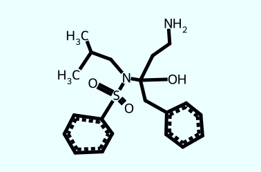 CC(C)CN(C(O)(CCN)Cc1ccccc1)S(=O)(=O)c1ccccc1